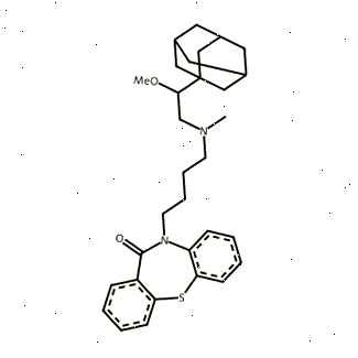 COC(CN(C)CCCCN1C(=O)c2ccccc2Sc2ccccc21)C12CC3CC(CC(C3)C1)C2